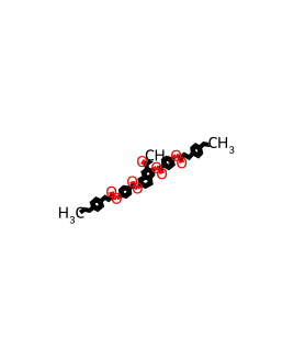 CCCc1ccc(CCC(=O)Oc2ccc(C(=O)Oc3ccc4cc(OC(=O)c5ccc(OC(=O)CCc6ccc(CCC)cc6)cc5)c(C(=O)CC)cc4c3)cc2)cc1